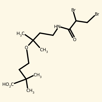 CC(C)(CCNC(=O)C(Br)CBr)OCCC(C)(C)C(=O)O